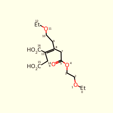 CCOCCOC(=O)CC(CCOCC)=C(CC(=O)O)C(=O)O